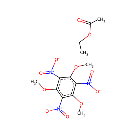 CCOC(C)=O.COc1c([N+](=O)[O-])c(OC)c([N+](=O)[O-])c(OC)c1[N+](=O)[O-]